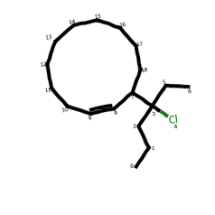 CCCC(Cl)(CC)C1/C=C\CCCCCCCCC1